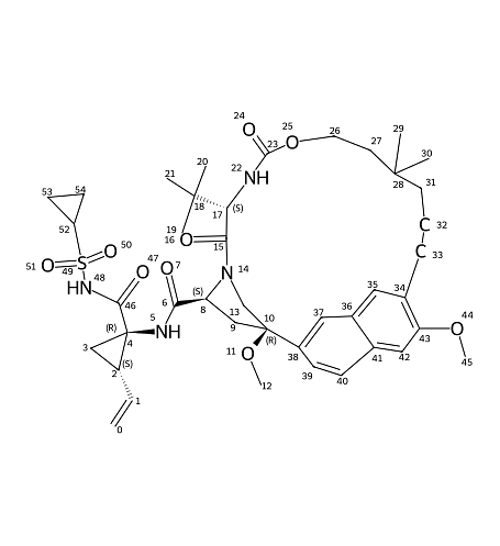 C=C[C@@H]1C[C@]1(NC(=O)[C@@H]1C[C@]2(OC)CN1C(=O)[C@H](C(C)(C)C)NC(=O)OCCC(C)(C)CCCc1cc3cc2ccc3cc1OC)C(=O)NS(=O)(=O)C1CC1